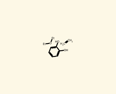 C=C.CCOCC.Oc1ccccc1O